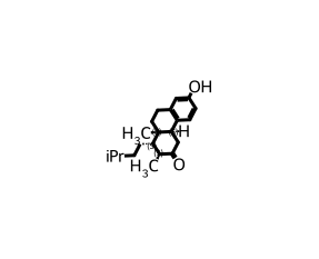 CC(C)CC[C@H]1[C@H](C)C(=O)C[C@@H]2c3ccc(O)cc3CC[C@]21C